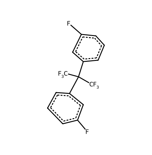 Fc1cccc(C(c2cccc(F)c2)(C(F)(F)F)C(F)(F)F)c1